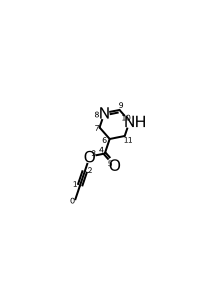 CC#COC(=O)C1CN=CNC1